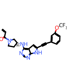 C=CC(=O)N1CC[C@@H](Nc2ncnc3[nH]c(C#Cc4cccc(OC(F)(F)F)c4)cc23)C1